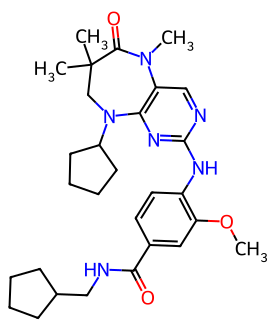 COc1cc(C(=O)NCC2CCCC2)ccc1Nc1ncc2c(n1)N(C1CCCC1)CC(C)(C)C(=O)N2C